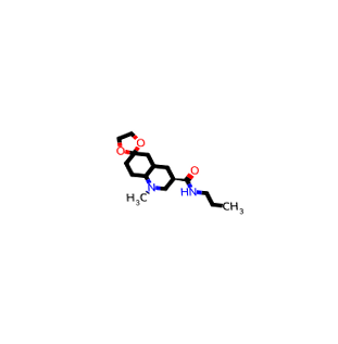 CCCNC(=O)[C@@H]1CC2CC3(CCC2N(C)C1)OCCO3